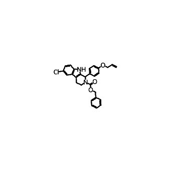 C=CCOc1ccc(C2c3[nH]c4ccc(Cl)cc4c3CCN2C(=O)OCc2ccccc2)cc1